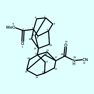 COC(=O)C12CC3CC(C1)CC(C14CC5CC(CC(C(=O)NC#N)(C5)C1)C4)(C3)C2